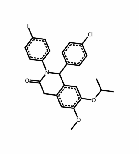 COc1cc2c(cc1OC(C)C)C(c1ccc(Cl)cc1)N(c1ccc(I)cc1)C(=O)C2